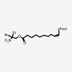 CCCCC/C=C\CCCCCCCC(=O)OCC(Br)(CC)[N+](=O)[O-]